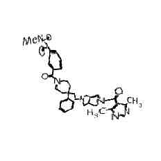 CNS(=O)(=O)c1cccc(C(=O)N2CCC(CCN3CC4=CN(C(=O)c5c(C)ncnc5C)CC4C3)(c3ccccc3)CC2)c1